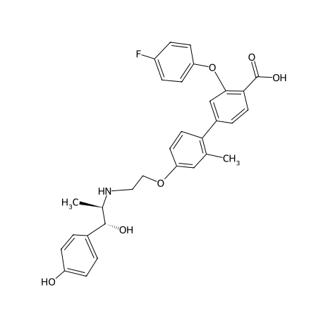 Cc1cc(OCCN[C@H](C)[C@H](O)c2ccc(O)cc2)ccc1-c1ccc(C(=O)O)c(Oc2ccc(F)cc2)c1